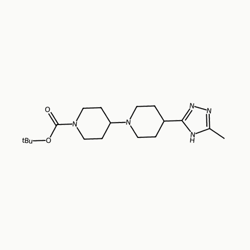 Cc1nnc(C2CCN(C3CCN(C(=O)OC(C)(C)C)CC3)CC2)[nH]1